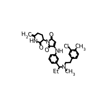 C=C1CCC(N2C(=O)C=C(Nc3cccc(C(CC)N(C)CCc4ccc(C)c(Cl)c4)c3)C2=O)C(=O)N1